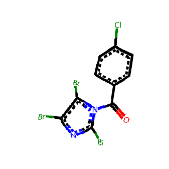 O=C(c1ccc(Cl)cc1)n1c(Br)nc(Br)c1Br